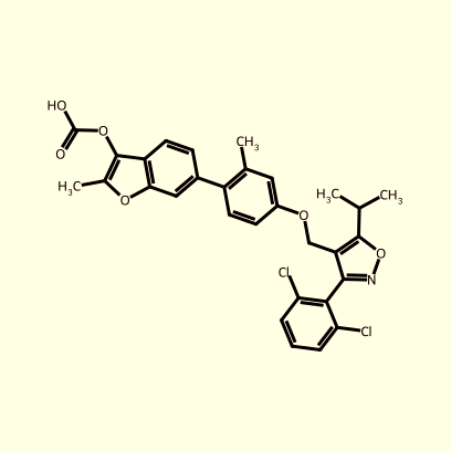 Cc1cc(OCc2c(-c3c(Cl)cccc3Cl)noc2C(C)C)ccc1-c1ccc2c(OC(=O)O)c(C)oc2c1